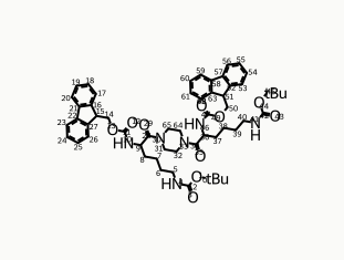 CC(C)(C)OC(=O)NCCCCC(NC(=O)OCC1c2ccccc2-c2ccccc21)C(=O)N1CCN(C(=O)C(CCCCNC(=O)OC(C)(C)C)NC(=O)OCC2c3ccccc3-c3ccccc32)CC1